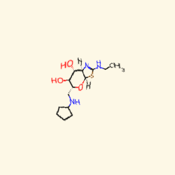 CCNC1=N[C@@H]2[C@@H](O)[C@H](O)[C@@H](CNC3CCCC3)O[C@@H]2S1